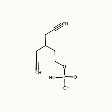 C#CCC(CC#C)CCOP(=O)(O)O